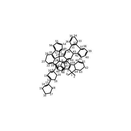 CC1(C)C2=C(CCC(N(C3=CC=C(C4=CCCCC4)CC3)C3=CCCC4=C3C3(C5=CC6C7=C(CCC=C7)c7ccccc7C6C=C5C5C=CC=CC53)c3ccccc34)=C2)C2C=CCCC21